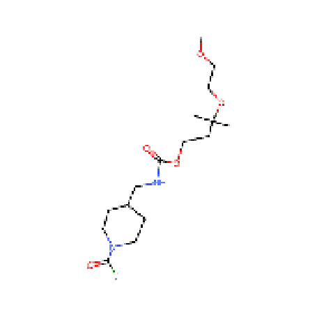 COCCOC(C)(C)CCOC(=O)NCC1CCN(C(=O)Cl)CC1